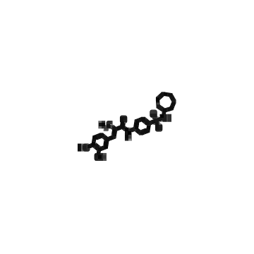 CC(=Cc1ccc(O)c(O)c1)C(=O)Nc1ccc(S(=O)(=O)NC2CCCCCC2)cc1